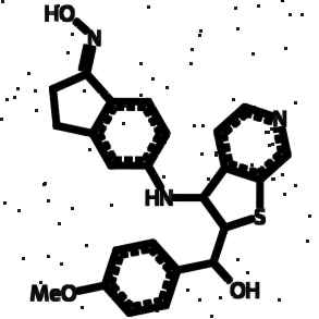 COc1ccc(C(O)C2Sc3cnccc3C2Nc2ccc3c(c2)CC/C3=N\O)cc1